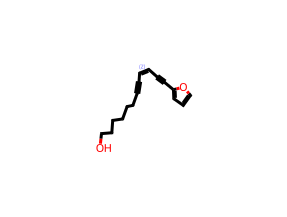 OCCCCCCC#C/C=C\C#Cc1ccco1